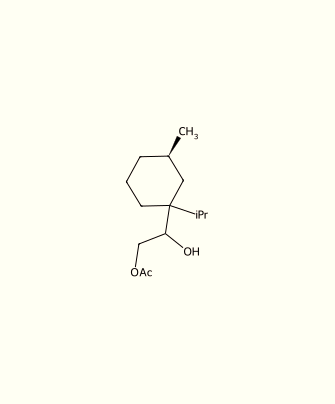 CC(=O)OCC(O)C1(C(C)C)CCC[C@@H](C)C1